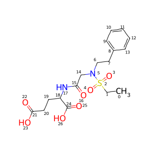 CCS(=O)(=O)N(CCc1ccccc1)CC(=O)NC(CCC(=O)O)C(=O)O